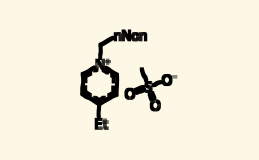 CCCCCCCCCC[n+]1ccc(CC)cc1.CS(=O)(=O)[O-]